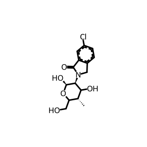 C[C@@H]1C(CO)O[C@@H](O)[C@@H](N2Cc3ccc(Cl)cc3C2=O)C1O